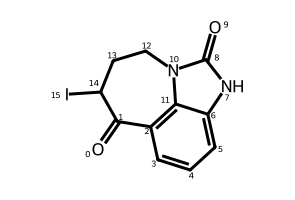 O=C1c2cccc3[nH]c(=O)n(c23)CCC1I